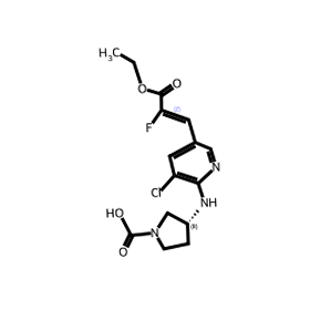 CCOC(=O)/C(F)=C/c1cnc(N[C@@H]2CCN(C(=O)O)C2)c(Cl)c1